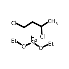 CC(Cl)CCCl.CCO[SiH2]OCC